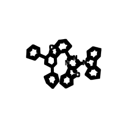 C1=C(c2ccccc2)c2oc3cccc(-c4nc(-n5c6ccccc6c6ccccc65)c5oc6ccccc6c5n4)c3c2CC1c1ccccc1